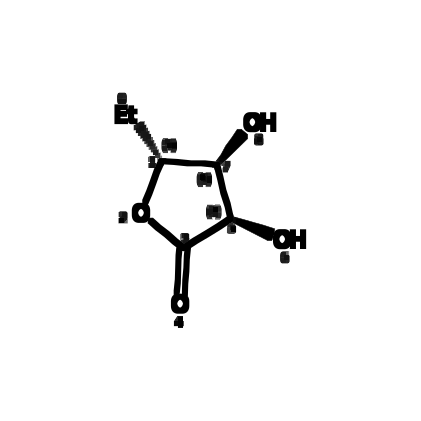 CC[C@H]1OC(=O)[C@H](O)[C@@H]1O